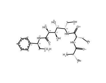 CCC(C)[C@H](N)C(=O)N[C@@H](CC(C)C)C(=O)N[C@@H](CO)[C@@H](O)[C@@H](O)[C@H](O)C(=O)N[C@@H](CC(=O)O)c1ccccc1